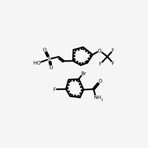 NC(=O)c1ccc(F)cc1Br.O=S(=O)(O)C=Cc1ccc(OC(F)(F)F)cc1